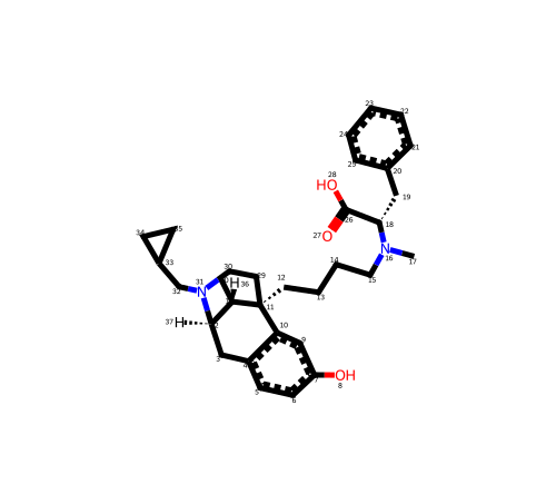 C[C@H]1[C@H]2Cc3ccc(O)cc3[C@]1(CCCCN(C)[C@@H](Cc1ccccc1)C(=O)O)CCN2CC1CC1